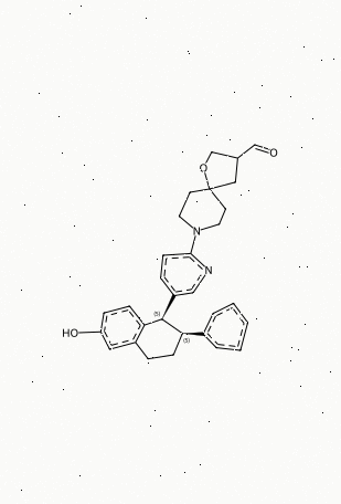 O=CC1COC2(CCN(c3ccc([C@@H]4c5ccc(O)cc5CC[C@@H]4c4ccccc4)cn3)CC2)C1